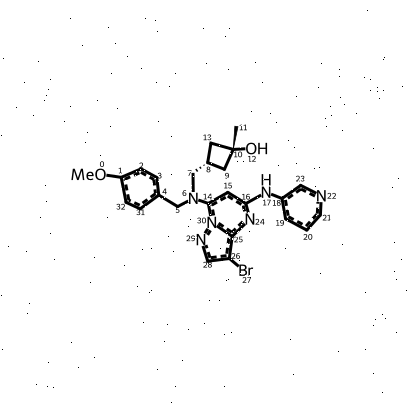 COc1ccc(CN(C[C@H]2C[C@@](C)(O)C2)c2cc(Nc3cccnc3)nc3c(Br)cnn23)cc1